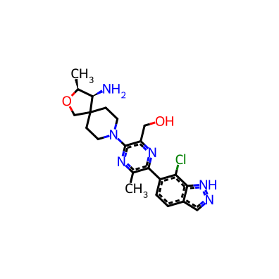 Cc1nc(N2CCC3(CC2)CO[C@@H](C)[C@H]3N)c(CO)nc1-c1ccc2cn[nH]c2c1Cl